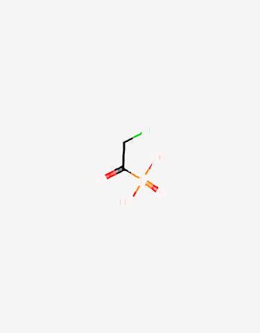 O=C(CCl)P(=O)(O)O